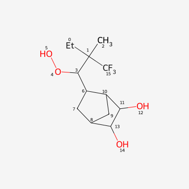 CCC(C)(C(OO)C1CC2CC1C(O)C2O)C(F)(F)F